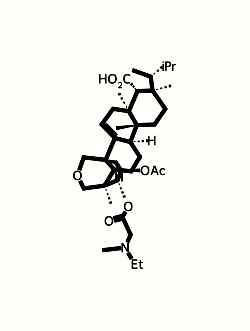 CCN(C)CC(=O)O[C@H]1[C@H](OC(C)=O)C[C@]23COC[C@@]1(C)[C@@H]2CC[C@H]1C3=CC[C@@]2(C)[C@H](C(=O)O)[C@@](C)([C@H](C)C(C)C)CC[C@]12C